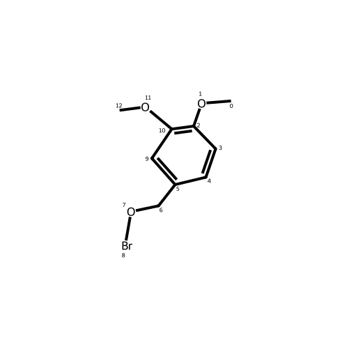 COc1ccc(COBr)cc1OC